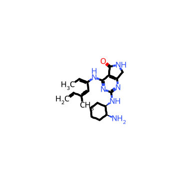 C=C/C(C)=C\C(=C/C)Nc1nc(N[C@@H]2CCCC[C@@H]2N)nc2c1C(=O)NC2